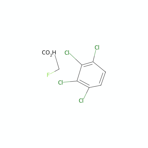 Clc1ccc(Cl)c(Cl)c1Cl.O=C(O)CF